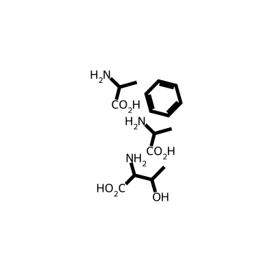 CC(N)C(=O)O.CC(N)C(=O)O.CC(O)C(N)C(=O)O.c1ccccc1